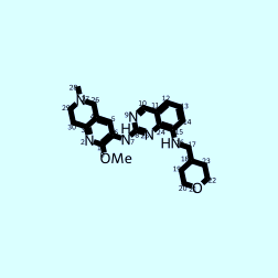 COc1nc2c(cc1Nc1ncc3cccc(NCC4CCOCC4)c3n1)CN(C)CC2